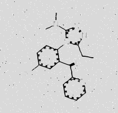 CCc1nnc(N(C)C)n1-c1ccc(Br)cc1C(=O)c1ccccn1